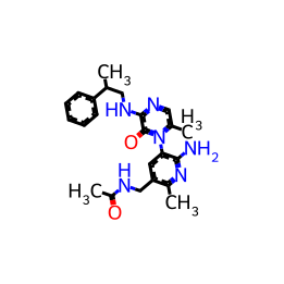 CC(=O)NCc1cc(-n2c(C)cnc(NCC(C)c3ccccc3)c2=O)c(N)nc1C